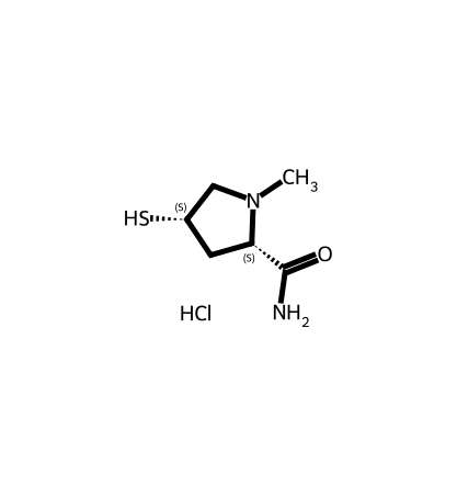 CN1C[C@@H](S)C[C@H]1C(N)=O.Cl